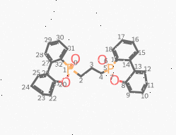 O=P1(CCCP2(=O)Oc3ccccc3-c3ccccc32)Oc2ccccc2-c2ccccc21